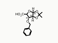 CC1(C)O[C@H]2OC(C(=O)O)[C@H](OCc3ccccc3)[C@H]2O1